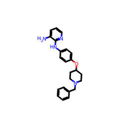 Nc1cccnc1Nc1ccc(OC2CCN(Cc3ccccc3)CC2)cc1